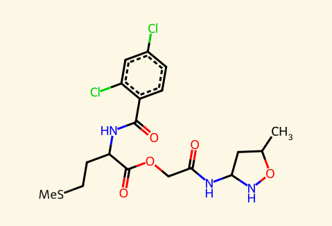 CSCCC(NC(=O)c1ccc(Cl)cc1Cl)C(=O)OCC(=O)NC1CC(C)ON1